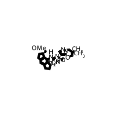 COC[C@@H]1CCc2cc3c(c(NC(=O)N=[S@@](N)(=O)c4cnn5c4OCC(C)(C)C5)c21)CCC3